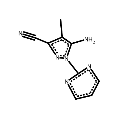 Cc1c(C#N)nn(-c2ncccn2)c1N